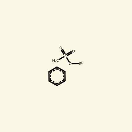 CC(C)OS(C)(=O)=O.c1ccccc1